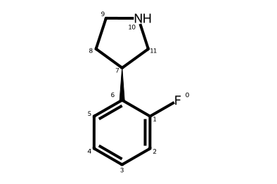 Fc1ccccc1[C@H]1CCNC1